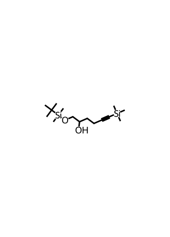 CC(C)(C)[Si](C)(C)OCC(O)CCC#C[Si](C)(C)C